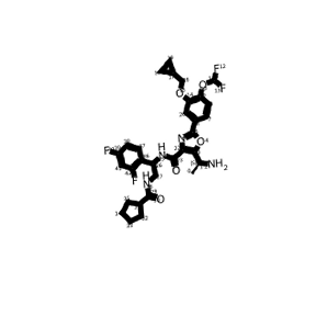 C[C@H](N)c1oc(-c2ccc(OC(F)F)c(OCC3CC3)c2)nc1C(=O)NC(CNC(=O)C1CCCC1)c1ccc(F)cc1F